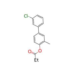 CCC(=O)Oc1ccc(-c2cccc(Cl)c2)cc1C